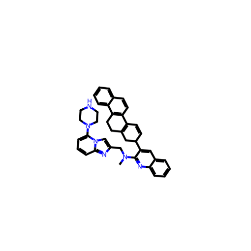 CN(Cc1cn2c(N3CCNCC3)cccc2n1)c1nc2ccccc2cc1C1C=CC2=C(CCc3c2ccc2ccccc32)C1